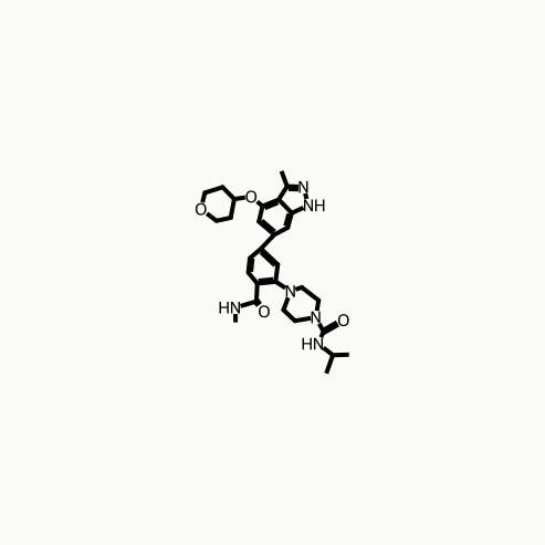 CNC(=O)c1ccc(-c2cc(OC3CCOCC3)c3c(C)n[nH]c3c2)cc1N1CCN(C(=O)NC(C)C)CC1